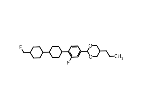 CCCC1COC(c2ccc(C3CCC(C4CCC(CF)CC4)CC3)c(F)c2)OC1